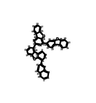 c1ccc2cc(-c3cccc4c3oc3cccc(-c5nc(-c6ccc7c(c6)oc6ccccc67)c6oc7ccccc7c6n5)c34)ccc2c1